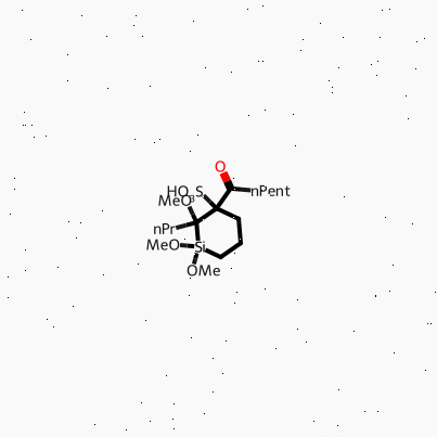 CCCCCC(=O)C1(S(=O)(=O)O)CCC[Si](OC)(OC)C1(CCC)OC